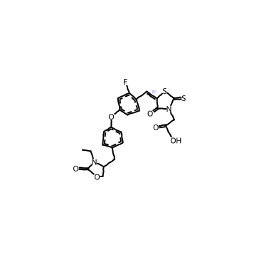 CCN1C(=O)OCC1Cc1ccc(Oc2ccc(/C=C3/SC(=S)N(CC(=O)O)C3=O)c(F)c2)cc1